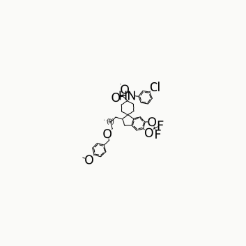 COC(=O)C1(Nc2cccc(Cl)c2)CCC2(CC1)c1cc3c(cc1CC2C[C@@H](C)COCc1ccc(OC)cc1)OC(F)(F)O3